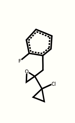 Fc1ccccc1CC1(C2(Cl)CC2)CO1